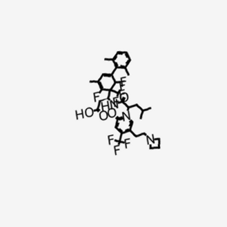 CC1=C(F)C([C@H](CC(=O)O)NC(=O)C(CC(C)C)n2cc(CCN3CCC3)c(C(F)(F)F)cc2=O)(C(F)(F)F)C(F)C(c2c(C)cccc2C)=C1